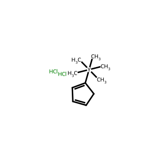 Cl.Cl.[CH3][Y]([CH3])([CH3])([CH3])([CH3])[C]1=CC=CC1